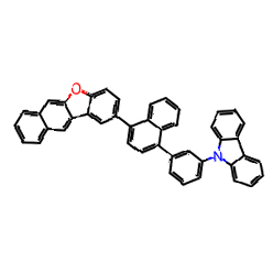 c1cc(-c2ccc(-c3ccc4oc5cc6ccccc6cc5c4c3)c3ccccc23)cc(-n2c3ccccc3c3ccccc32)c1